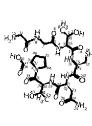 C[C@@H](O)[C@H](NC(=O)CNC(=O)CN)C(=O)N[C@@H](CS)C(=O)N[C@@H](CC(N)=O)C(=O)N[C@H](C(=O)N1CCC[C@H]1C(=O)O)[C@@H](C)O